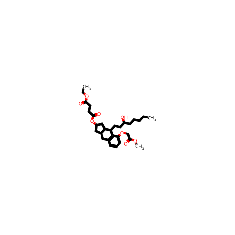 CCCCCC(O)CCC1c2c(cccc2OCC(=O)OC)CC2CC(OC(=O)CCC(=O)OCC)CC21